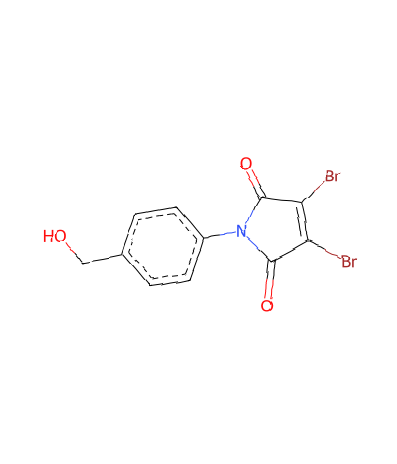 O=C1C(Br)=C(Br)C(=O)N1c1ccc(CO)cc1